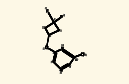 FC1(F)CC(Oc2cncc(Cl)n2)C1